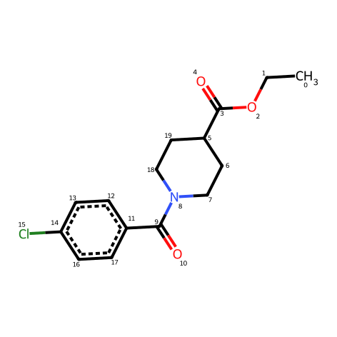 CCOC(=O)C1CCN(C(=O)c2ccc(Cl)cc2)CC1